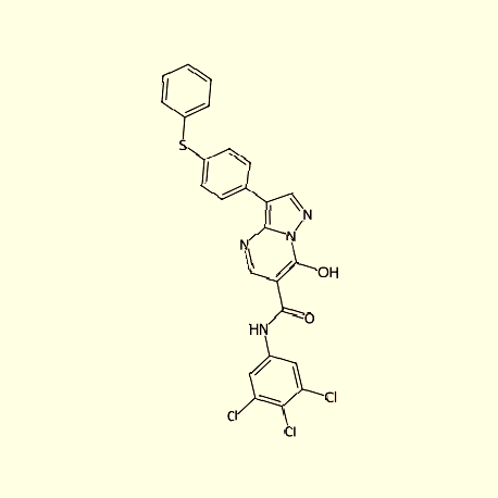 O=C(Nc1cc(Cl)c(Cl)c(Cl)c1)c1cnc2c(-c3ccc(Sc4ccccc4)cc3)cnn2c1O